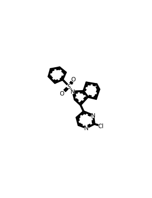 O=S(=O)(c1ccccc1)n1cc(-c2ccnc(Cl)n2)c2ccccc21